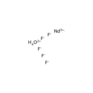 [F-].[F-].[F-].[F-].[F-].[Nd+3].[OH4+2]